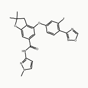 Cn1ccc(NC(=O)c2cc(Oc3ccc(-c4ncon4)c(F)c3)c3c(c2)OC(C)(C)C3)n1